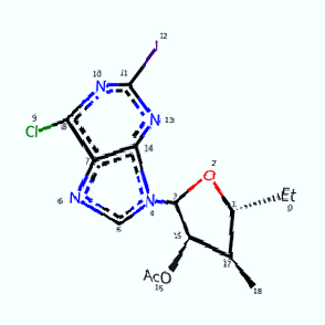 CC[C@H]1OC(n2cnc3c(Cl)nc(I)nc32)[C@H](OC(C)=O)[C@@H]1C